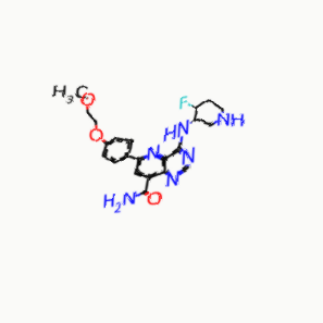 COCCOc1ccc(-c2cc(C(N)=O)c3ncnc(N[C@H]4CNCC[C@@H]4F)c3n2)cc1